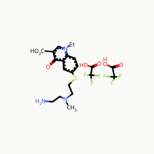 CCn1cc(C(=O)O)c(=O)c2cc(SCCN(C)CCN)ccc21.O=C(O)C(F)(F)F.O=C(O)C(F)(F)F